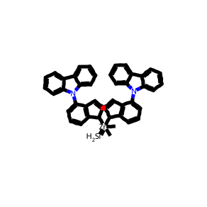 CC1=Cc2c(cccc2-n2c3ccccc3c3ccccc32)[CH]1[Zr]([CH3])([CH3])(=[SiH2])[CH]1C(C)=Cc2c1cccc2-n1c2ccccc2c2ccccc21